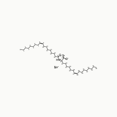 CCCCCCCC/C=C\CCCCCCCC(=O)NC(CCCCCC/C=C\CCCCCCCC)C(=O)[O-].[Na+]